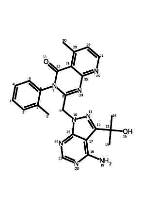 Cc1ccccc1-n1c(Cn2nc(C(C)(C)O)c3c(N)ncnc32)nc2nccc(C)c2c1=O